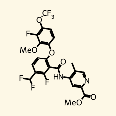 COC(=O)c1cc(NC(=O)c2c(Oc3ccc(OC(F)(F)F)c(F)c3OC)ccc(C(F)F)c2F)c(C)cn1